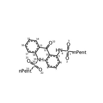 CCCCCS(=O)(=O)Nc1ccccc1C(=O)c1ccccc1NS(=O)(=O)CCCCC